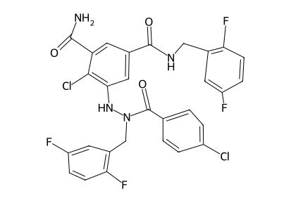 NC(=O)c1cc(C(=O)NCc2cc(F)ccc2F)cc(NN(Cc2cc(F)ccc2F)C(=O)c2ccc(Cl)cc2)c1Cl